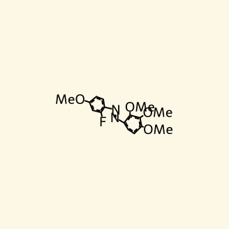 COc1ccc(N=Nc2ccc(OC)c(OC)c2OC)c(F)c1